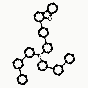 c1ccc(-c2cccc(-c3cccc(N(c4cccc(-c5ccc(-c6cccc7c6oc6ccccc67)cc5)c4)c4cccc(-c5cccc(-c6ccccc6)c5)c4)c3)c2)cc1